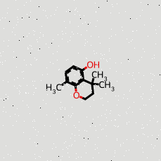 Cc1ccc(O)c2c1OCCC2(C)C